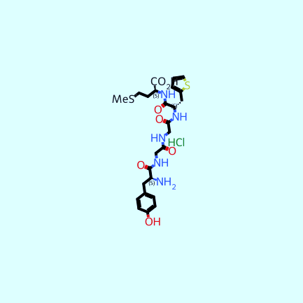 CSCC[C@H](NC(=O)[C@H](Cc1cccs1)NC(=O)CNC(=O)CNC(=O)[C@@H](N)Cc1ccc(O)cc1)C(=O)O.Cl